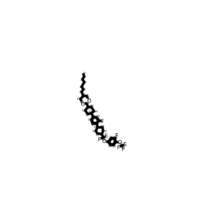 CCCCCCCC1COC(C2CCC(c3ccc(C4CCC(C(F)(F)Oc5ccc(OC(F)(F)F)c(F)c5)CC4)c(F)c3)CC2)OC1